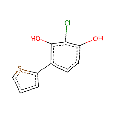 Oc1ccc(-c2cccs2)c(O)c1Cl